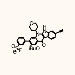 C#Cc1ccc2c(c1)[nH]c1c2c(=O)c2cc(OCC(C)C)c(-c3cccc(S(=O)(=O)F)c3)cc2n1C1CCOCC1